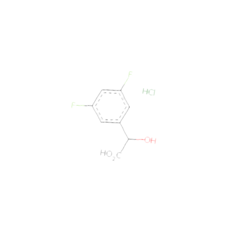 Cl.O=C(O)C(O)c1cc(F)cc(F)c1